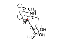 CC1=C(C(=O)OCCO[C@@H]2O[C@H](CO)[C@@H](O)[C@H](O)[C@H]2O)C(c2ccccc2[N+](=O)[O-])C(C(=O)OC2CCCC2)=C(C)N1